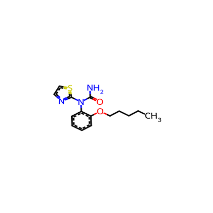 CCCCCOc1ccccc1N(C(N)=O)c1nccs1